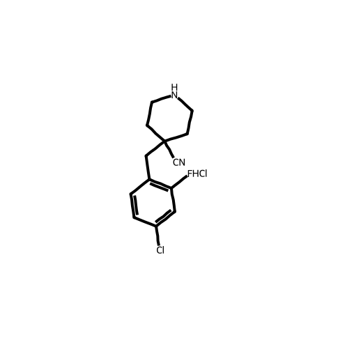 Cl.N#CC1(Cc2ccc(Cl)cc2F)CCNCC1